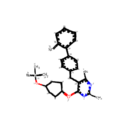 CCCCc1nc(C)nc(OC2CCC(O[Si](C)(C)C(C)(C)C)CC2)c1Cc1ccc(-c2ccccc2C#N)cc1